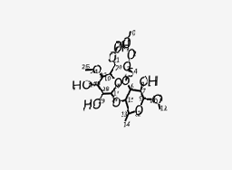 COOOSOC1C(O)C(OC)OC(C)C1OC1OC(COO)C(OC)C(O)C1O